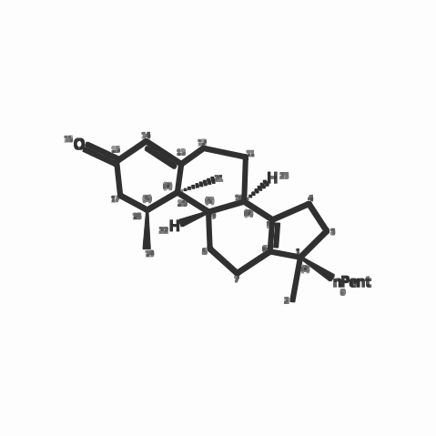 CCCCC[C@]1(C)CCC2=C1CC[C@H]1[C@H]2CCC2=CC(=O)C[C@H](C)[C@@]21C